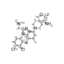 Cc1cc(N2CCC3(CC2)CO[C@@H](C)[C@H]3N)n2nc(CN(C)C)nc2c1Sc1cccc(Cl)c1Cl